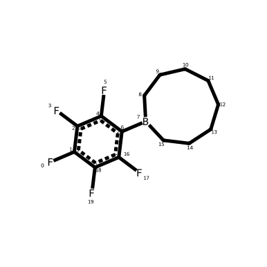 Fc1c(F)c(F)c(B2CCCCCCCC2)c(F)c1F